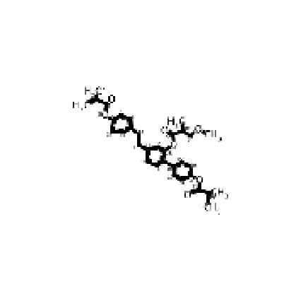 C=C(C)C(=O)Oc1ccc(CCc2ccc(-c3ccc(OC(=O)C(=C)C)cc3)c(OC(=O)C(=C)COC)c2)cc1